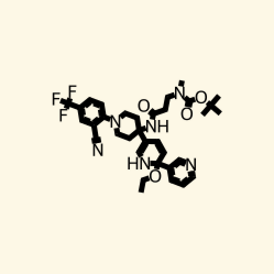 CCOC1(c2cccnc2)C=CC(C2(NC(=O)CCN(C)C(=O)OC(C)(C)C)CCN(c3ccc(C(F)(F)F)cc3C#N)CC2)=CN1